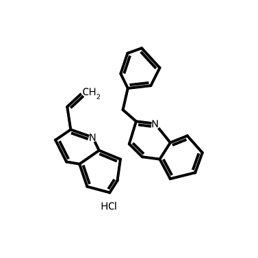 C=Cc1ccc2ccccc2n1.Cl.c1ccc(Cc2ccc3ccccc3n2)cc1